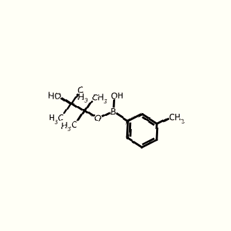 Cc1cccc(B(O)OC(C)(C)C(C)(C)O)c1